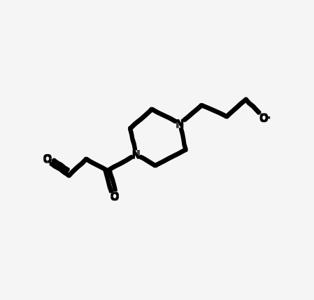 [O]CCCN1CCN(C(=O)CC=O)CC1